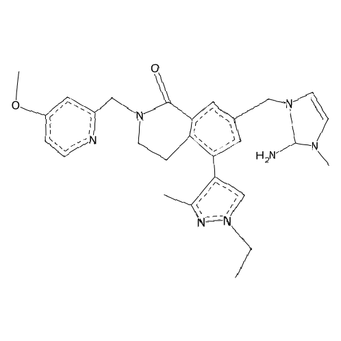 CCn1cc(-c2cc(CN3C=CN(C)C3N)cc3c2CCN(Cc2cc(OC)ccn2)C3=O)c(C)n1